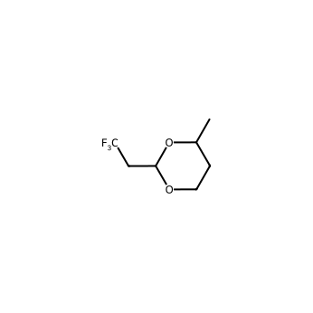 CC1CCOC(CC(F)(F)F)O1